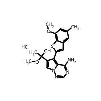 COc1cc(C)cc2cc(-c3c(C(C)(O)OC)cn4ncnc(N)c34)sc12.Cl